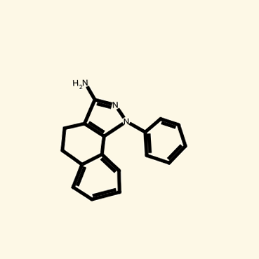 Nc1nn(-c2ccccc2)c2c1CCc1ccccc1-2